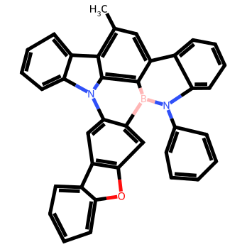 Cc1cc2c3c4c1c1ccccc1n4-c1cc4c(cc1B3N(c1ccccc1)c1ccccc1-2)oc1ccccc14